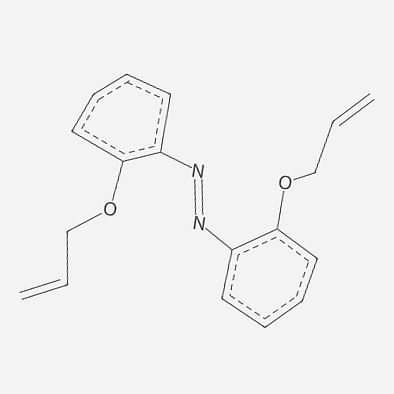 C=CCOc1ccccc1/N=N/c1ccccc1OCC=C